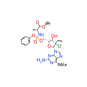 C=C[C@@]1(Cl)[C@H](O)[C@@H](CO[P@@](=O)(N[C@@H](C)C(=O)OC(C)C)Oc2ccccc2)O[C@H]1n1cnc2c(NC)nc(N)nc21